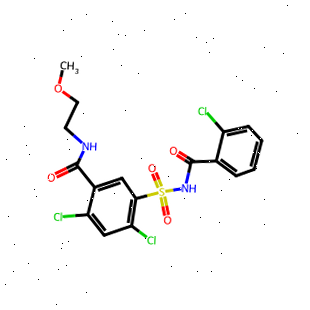 COCCNC(=O)c1cc(S(=O)(=O)NC(=O)c2ccccc2Cl)c(Cl)cc1Cl